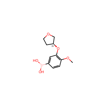 COc1ccc(B(O)O)cc1O[C@H]1CCOC1